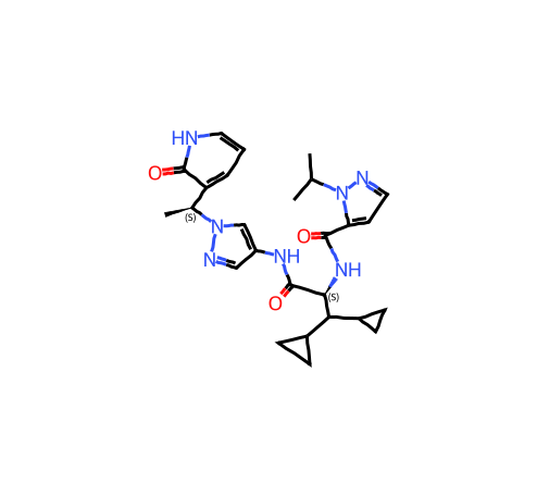 CC(C)n1nccc1C(=O)N[C@H](C(=O)Nc1cnn([C@@H](C)c2ccc[nH]c2=O)c1)C(C1CC1)C1CC1